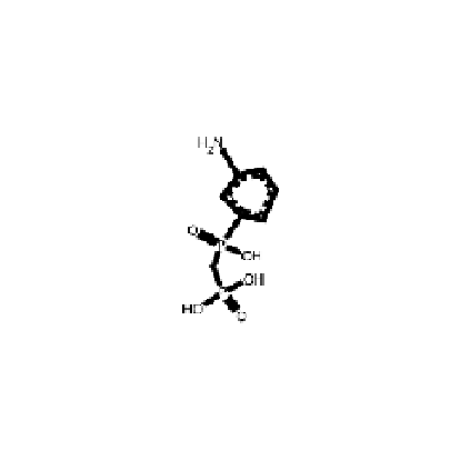 Nc1cccc(P(=O)(O)CP(=O)(O)O)c1